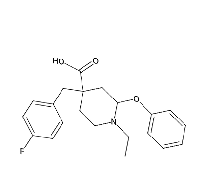 CCN1CCC(Cc2ccc(F)cc2)(C(=O)O)CC1Oc1ccccc1